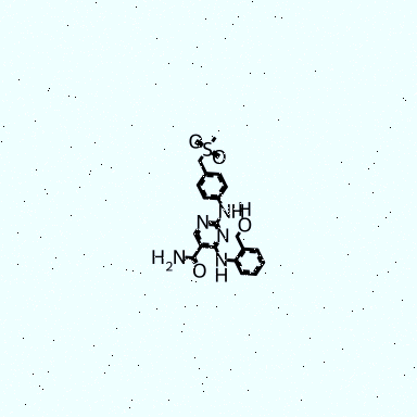 CS(=O)(=O)Cc1ccc(Nc2ncc(C(N)=O)c(Nc3ccccc3CO)n2)cc1